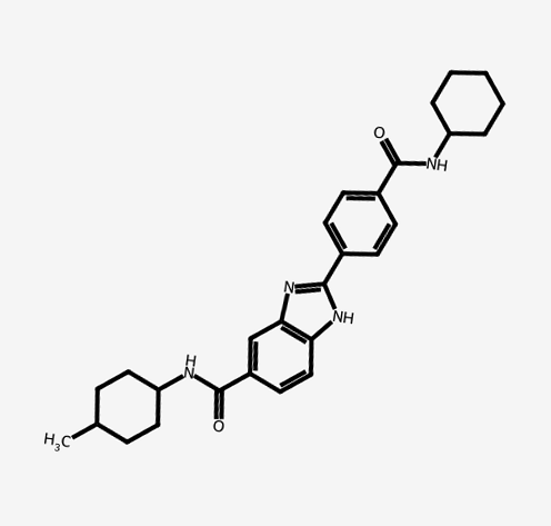 CC1CCC(NC(=O)c2ccc3[nH]c(-c4ccc(C(=O)NC5CCCCC5)cc4)nc3c2)CC1